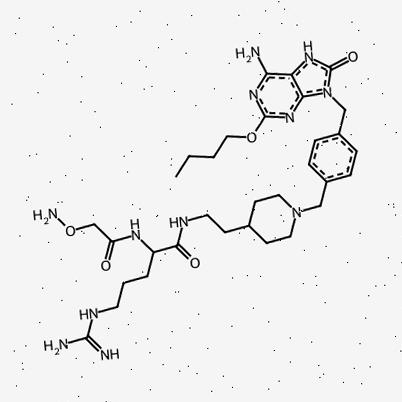 CCCCOc1nc(N)c2[nH]c(=O)n(Cc3ccc(CN4CCC(CCNC(=O)C(CCCNC(=N)N)NC(=O)CON)CC4)cc3)c2n1